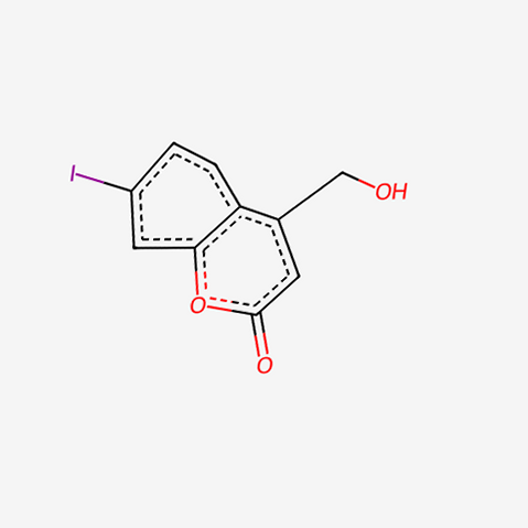 O=c1cc(CO)c2ccc(I)cc2o1